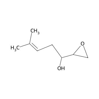 CC(C)=CCC(O)C1CO1